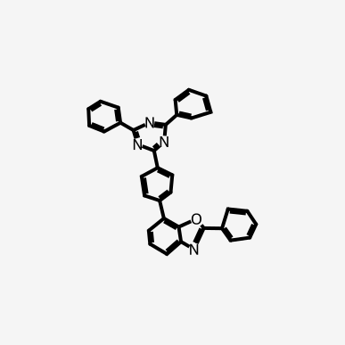 c1ccc(-c2nc(-c3ccccc3)nc(-c3ccc(-c4cccc5nc(-c6ccccc6)oc45)cc3)n2)cc1